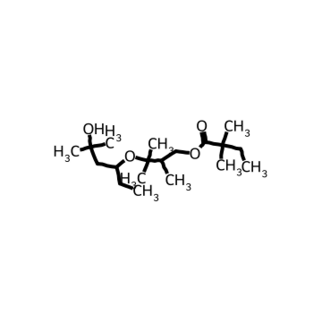 CCC(CC(C)(C)O)OC(C)(C)C(C)COC(=O)C(C)(C)CC